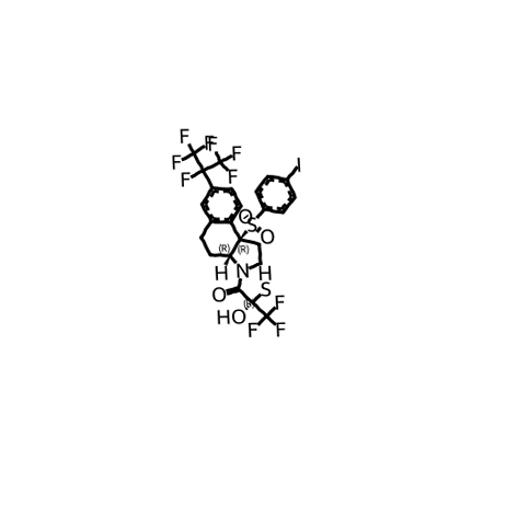 O=C(N1CC[C@@]2(S(=O)(=O)c3ccc(I)cc3)c3ccc(C(F)(C(F)(F)F)C(F)(F)F)cc3CC[C@@H]12)[C@@](O)(S)C(F)(F)F